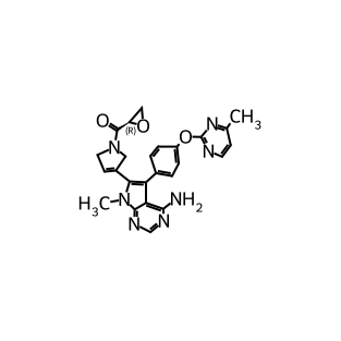 Cc1ccnc(Oc2ccc(-c3c(C4=CCN(C(=O)[C@H]5CO5)C4)n(C)c4ncnc(N)c34)cc2)n1